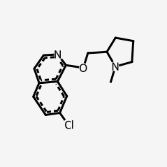 CN1CCCC1COc1nccc2ccc(Cl)cc12